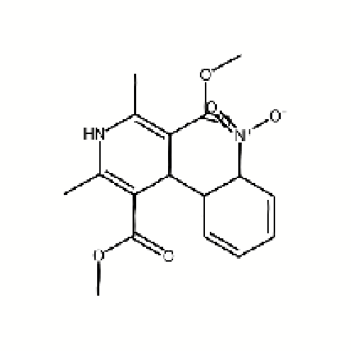 COC(=O)C1=C(C)NC(C)=C(C(=O)OC)C1C1C=CC=CC1[N+](=O)[O-]